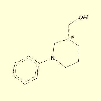 OC[C@@H]1CCCN(c2ccccc2)C1